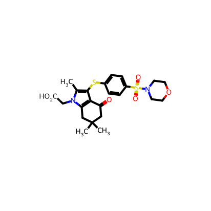 Cc1c(Sc2ccc(S(=O)(=O)N3CCOCC3)cc2)c2c(n1CC(=O)O)CC(C)(C)CC2=O